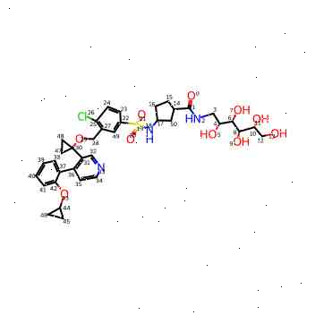 O=C(NC[C@H](O)[C@@H](O)[C@H](O)[C@H](O)CO)C1CCC(NS(=O)(=O)c2ccc(Cl)c(COC3(c4cnccc4-c4ccccc4OC4CC4)CC3)c2)C1